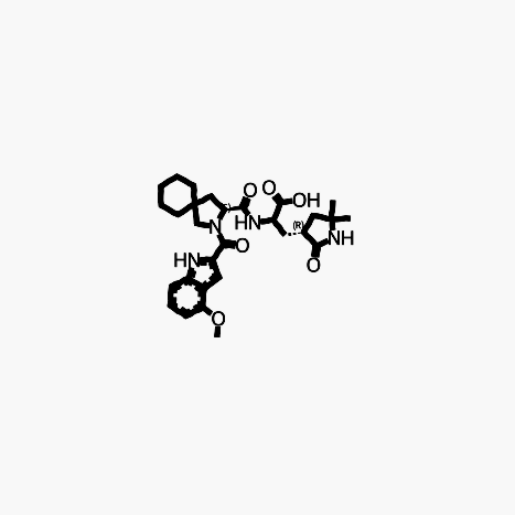 COc1cccc2[nH]c(C(=O)N3CC4(CCCCC4)C[C@H]3C(=O)NC(C[C@@H]3CC(C)(C)NC3=O)C(=O)O)cc12